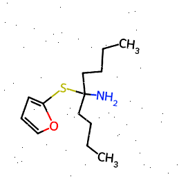 CCCCC(N)(CCCC)Sc1ccco1